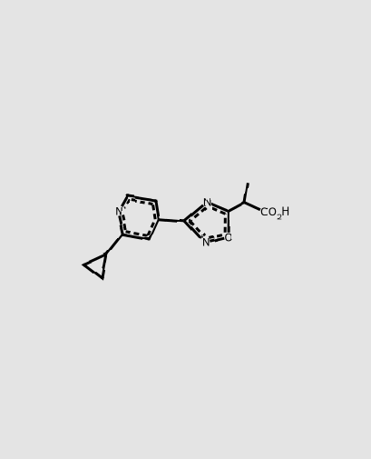 CC(C(=O)O)c1nc(-c2ccnc(C3CC3)c2)no1